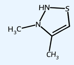 CC1=CSNN1C